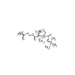 CC[C@@](C)(C(=O)OC(C)(C)C)[C@H](N)C(=O)OCCC(=O)O